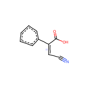 N#C/C=C(\C(=O)O)c1ccccc1